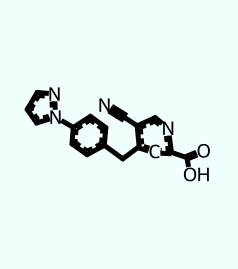 N#Cc1cnc(C(=O)O)cc1Cc1ccc(-n2cccn2)cc1